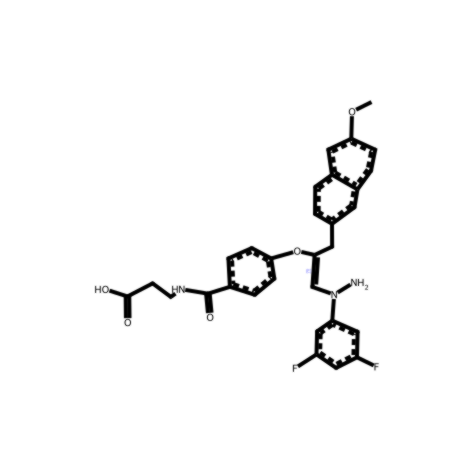 COc1ccc2cc(C/C(=C\N(N)c3cc(F)cc(F)c3)Oc3ccc(C(=O)NCCC(=O)O)cc3)ccc2c1